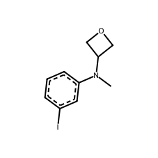 CN(c1cccc(I)c1)C1COC1